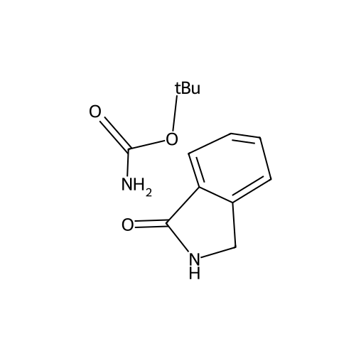 CC(C)(C)OC(N)=O.O=C1NCc2ccccc21